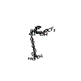 O=C(Nc1ccc(N2CCCCC2)cc1-c1cc(C(O)NCc2cccc(C(F)(F)F)c2)ccn1)c1cccc(CCCOCCOCCOCCOCCC(=O)N(CCO)CCO)c1